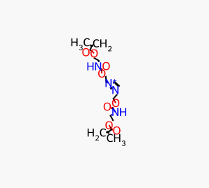 C=C(C)C(=O)OCCNC(=O)OCCn1cc[n+](CCOC(=O)NCCOC(=O)C(=C)C)c1